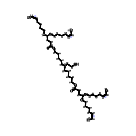 CC/C=C\CCCCOC(CCC(=O)OCCCCCN(CCO)CCCCCOC(=O)CCC(OCCCC/C=C\CC)OCCCC/C=C\CC)OCCCC/C=C\CC